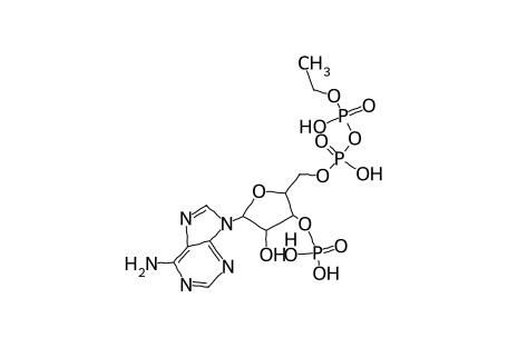 CCOP(=O)(O)OP(=O)(O)OCC1OC(n2cnc3c(N)ncnc32)C(O)C1OP(=O)(O)O